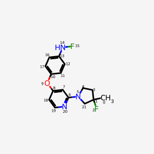 CC1(F)CCN(c2cc(Oc3ccc(NF)cc3)ccn2)C1